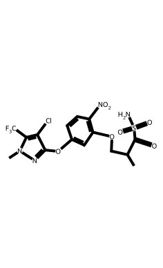 CC(COc1cc(Oc2nn(C)c(C(F)(F)F)c2Cl)ccc1[N+](=O)[O-])C(=O)S(N)(=O)=O